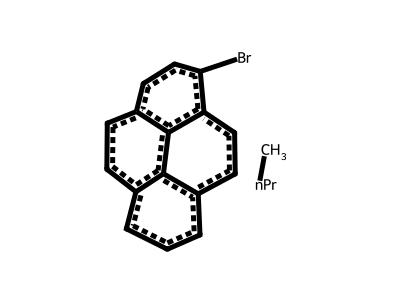 Brc1ccc2ccc3cccc4ccc1c2c34.CCCC